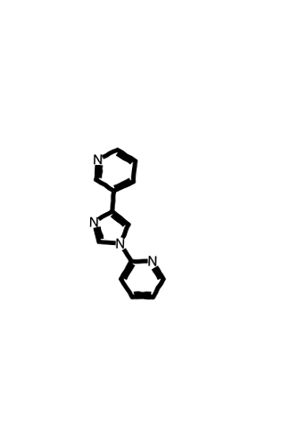 c1ccc(-n2cnc(-c3cccnc3)c2)nc1